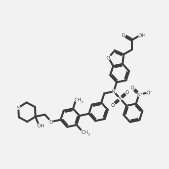 Cc1cc(OCC2(O)CCSCC2)cc(C)c1-c1cccc(CN(c2ccc3c(CC(=O)O)coc3c2)S(=O)(=O)c2ccccc2[N+](=O)[O-])c1